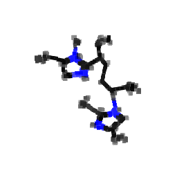 Cc1cn(C(C)CCC(C)c2ncc(C)n2C(C)C)c(C(C)C)n1